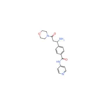 NC(CC(=O)N1CCOCC1)c1ccc(C(=O)Nc2ccncc2)cc1